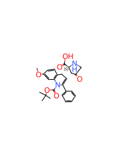 COc1ccc2c(c1)N(C(=O)OC(C)(C)C)C(c1ccccc1)=CC2.O=C1CN[C@H](C(=O)O)C1